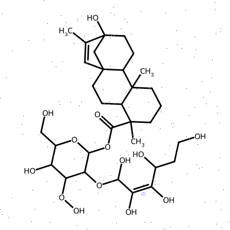 CC1=CC23CCC4C(C)(C(=O)OC5OC(CO)C(O)C(OO)C5OC(O)/C(O)=C(/O)C(O)CCO)CCCC4(C)C2CCC1(O)C3